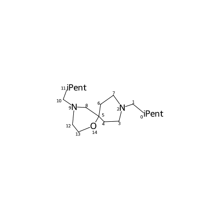 CCCC(C)CN1CCC2(CC1)CN(CC(C)CCC)CCO2